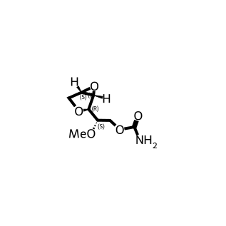 CO[C@@H](COC(N)=O)[C@H]1OC[C@@H]2O[C@H]12